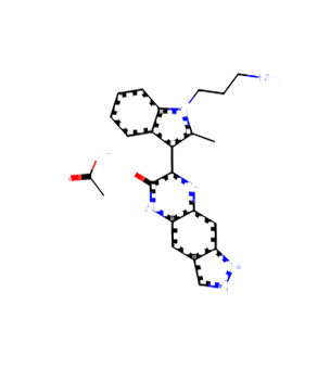 CC(=O)O.Cc1c(-c2nc3cc4[nH]ncc4cc3[nH]c2=O)c2ccccc2n1CCCN